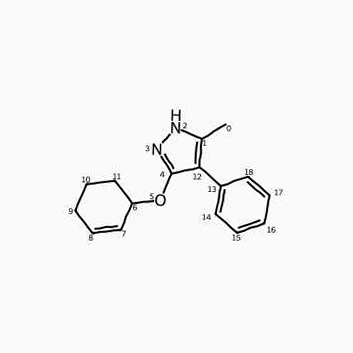 Cc1[nH]nc(OC2C=CCCC2)c1-c1ccccc1